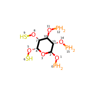 PO[C@H]1O[C@H](OS)[C@H](OS)[C@@H](OP)[C@@H]1OP